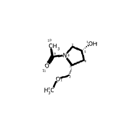 COC[C@H]1C[C@@H](O)CN1C(C)=O